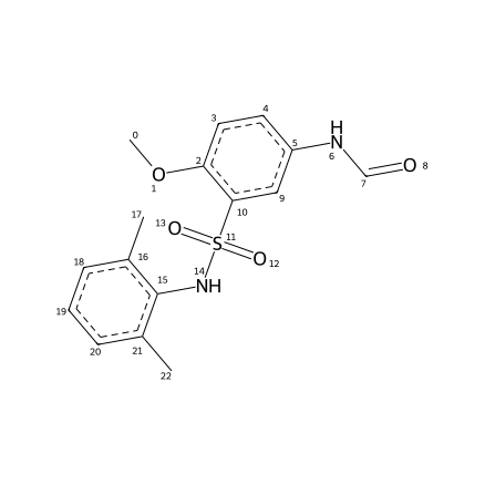 COc1ccc(NC=O)cc1S(=O)(=O)Nc1c(C)cccc1C